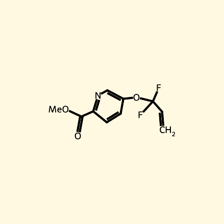 C=CC(F)(F)Oc1ccc(C(=O)OC)nc1